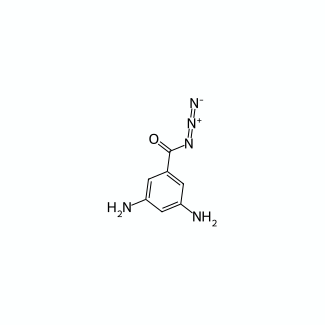 [N-]=[N+]=NC(=O)c1cc(N)cc(N)c1